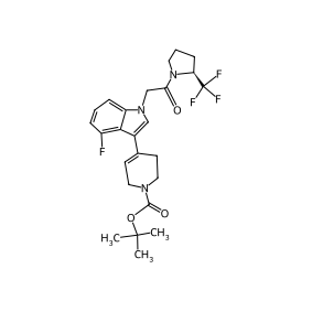 CC(C)(C)OC(=O)N1CC=C(c2cn(CC(=O)N3CCC[C@H]3C(F)(F)F)c3cccc(F)c23)CC1